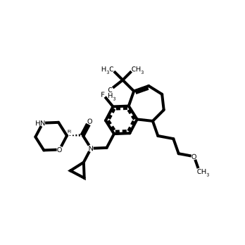 COCCCC1CCC=C(C(C)(C)C)c2c(F)cc(CN(C(=O)[C@H]3CNCCO3)C3CC3)cc21